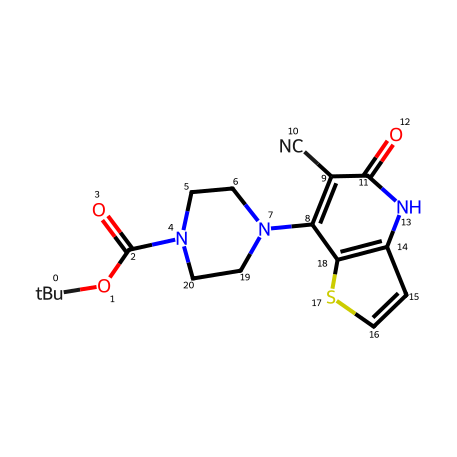 CC(C)(C)OC(=O)N1CCN(c2c(C#N)c(=O)[nH]c3ccsc23)CC1